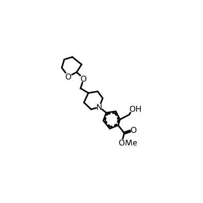 COC(=O)c1ccc(N2CCC(COC3CCCCO3)CC2)cc1CO